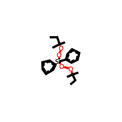 CCC(C)(C)OO[Si](OOC(C)(C)CC)(c1ccccc1)c1ccccc1